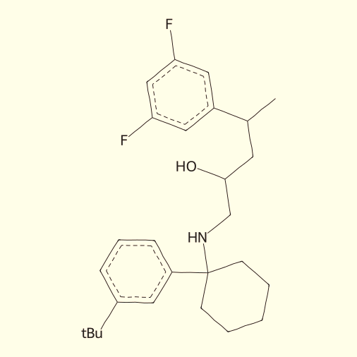 CC(CC(O)CNC1(c2cccc(C(C)(C)C)c2)CCCCC1)c1cc(F)cc(F)c1